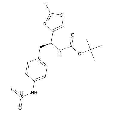 Cc1nc([C@H](Cc2ccc(N[SH](=O)=O)cc2)NC(=O)OC(C)(C)C)cs1